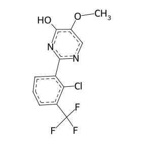 COc1cnc(-c2cccc(C(F)(F)F)c2Cl)nc1O